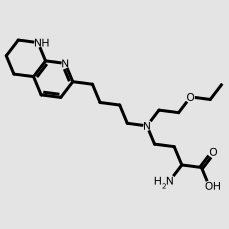 CCOCCN(CCCCc1ccc2c(n1)NCCC2)CCC(N)C(=O)O